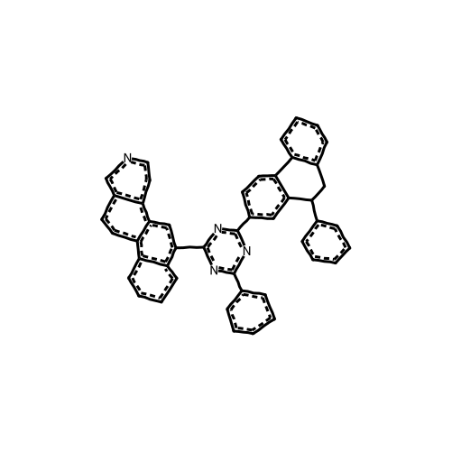 c1ccc(-c2nc(-c3ccc4c(c3)C(c3ccccc3)Cc3ccccc3-4)nc(-c3cc4c5ccncc5ccc4c4ccccc34)n2)cc1